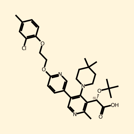 Cc1ccc(OCCOc2ccc(-c3cnc(C)c([C@H](OC(C)(C)C)C(=O)O)c3N3CCC(C)(C)CC3)cn2)c(Cl)c1